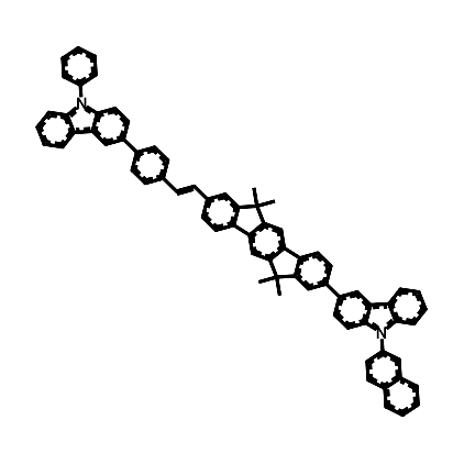 CC1(C)c2cc(/C=C/c3ccc(-c4ccc5c(c4)c4ccccc4n5-c4ccccc4)cc3)ccc2-c2cc3c(cc21)-c1ccc(-c2ccc4c(c2)c2ccccc2n4-c2ccc4ccccc4c2)cc1C3(C)C